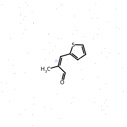 C/C(C=O)=C/c1cccs1